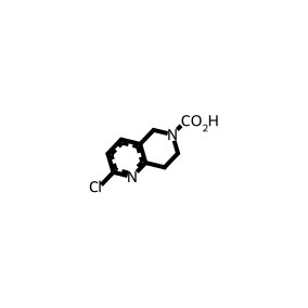 O=C(O)N1CCc2nc(Cl)ccc2C1